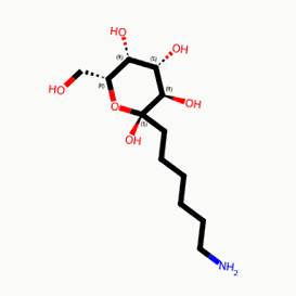 NCCCCCC[C@]1(O)O[C@H](CO)[C@H](O)[C@H](O)[C@H]1O